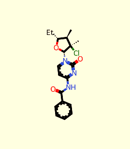 CC[C@H]1O[C@@H](n2ccc(NC(=O)c3ccccc3)nc2=O)[C@](C)(Cl)[C@@H]1C